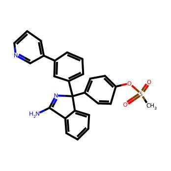 CS(=O)(=O)Oc1ccc(C2(c3cccc(-c4cccnc4)c3)N=C(N)c3ccccc32)cc1